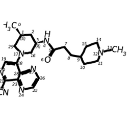 C[C@H]1C[C@@H](NC(=O)CCC2CCN(C)CC2)CN(c2cnc(C#N)c3nccnc23)C1